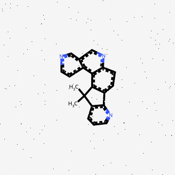 CC1(C)c2cccnc2-c2ccc3ncc4cnccc4c3c21